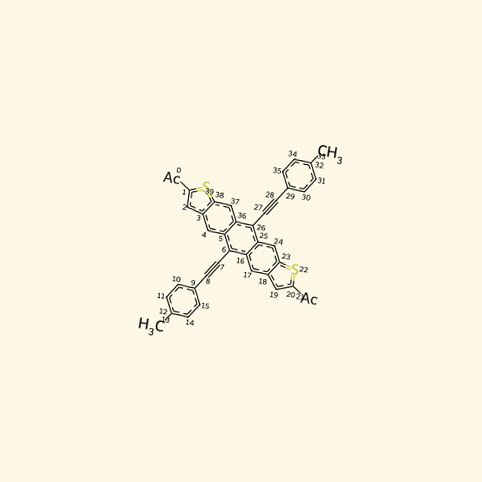 CC(=O)c1cc2cc3c(C#Cc4ccc(C)cc4)c4cc5cc(C(C)=O)sc5cc4c(C#Cc4ccc(C)cc4)c3cc2s1